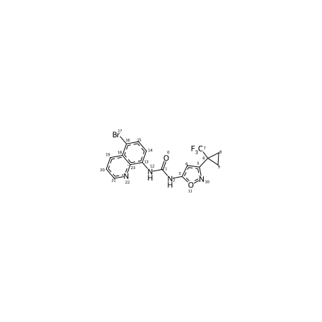 O=C(Nc1cc(C2(C(F)(F)F)CC2)no1)Nc1ccc(Br)c2cccnc12